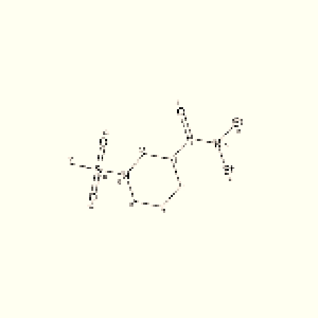 CCN(CC)C(=O)C1CCCN(S(C)(=O)=O)C1